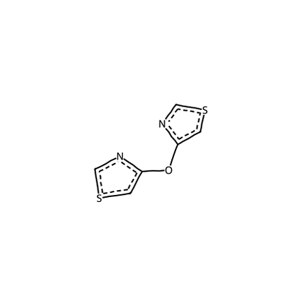 c1nc(Oc2cscn2)cs1